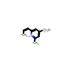 C/C=C\c1cc(C(=O)OCC)cc(C)n1